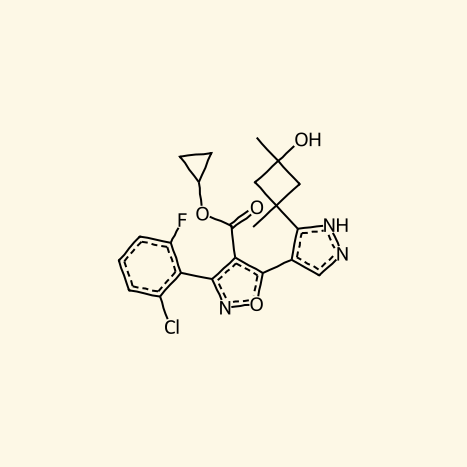 CC1(O)CC(C)(c2[nH]ncc2-c2onc(-c3c(F)cccc3Cl)c2C(=O)OC2CC2)C1